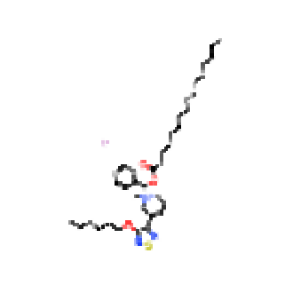 CCCCCCCCCCCCCCCC(=O)OC(c1ccccc1)[N+]1(C)CCC=C(c2nsnc2OCCCCCC)C1.[I-]